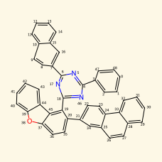 c1ccc(-c2nc(-c3ccc4ccccc4c3)nc(-c3c(-c4ccc5c(ccc6ccccc65)c4)ccc4oc5ccccc5c34)n2)cc1